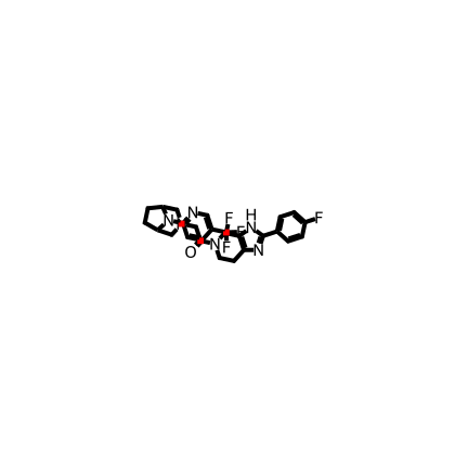 O=C(CN1CC2CCC(C1)N2c1ccc(C(F)(F)F)cn1)N1CCc2nc(-c3ccc(F)cc3)[nH]c2C1